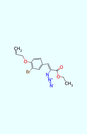 C=CCOc1ccc(C=C(N=[N+]=[N-])C(=O)OCC)cc1Br